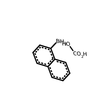 O=C(O)O.[BiH2][c]1cccc2ccccc12